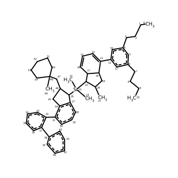 CCCCc1cc(CCCC)cc(C2=CC=CC3C2CC(C)C3[Si](C)(C)C2c3cccc(-c4ccccc4-c4ccccc4)c3CC2CC2(C)CCCCC2)c1